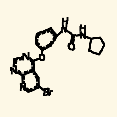 O=C(Nc1cccc(Oc2ncnc3ncc(Br)cc23)c1)NC1CCCC1